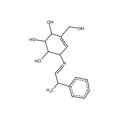 CC(C=NC1C=C(CO)C(O)C(O)C1O)c1ccccc1